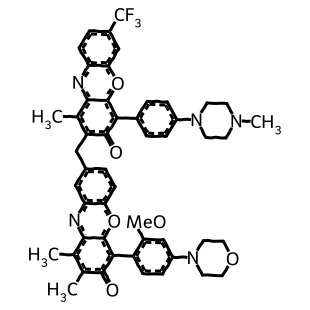 COc1cc(N2CCOCC2)ccc1-c1c2oc3ccc(Cc4c(C)c5nc6ccc(C(F)(F)F)cc6oc-5c(-c5ccc(N6CCN(C)CC6)cc5)c4=O)cc3nc-2c(C)c(C)c1=O